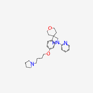 c1ccc(NCC2(c3ccc(OCCCCN4CCCC4)cc3)CCOCC2)nc1